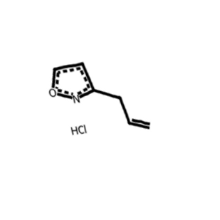 C=CCc1ccon1.Cl